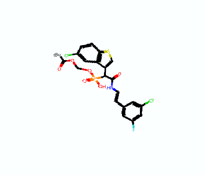 CC(C)(C)C(=O)OCOP(=O)(O)C(C(=O)N/C=C/c1cc(F)cc(Cl)c1)c1csc2ccc(Cl)cc12